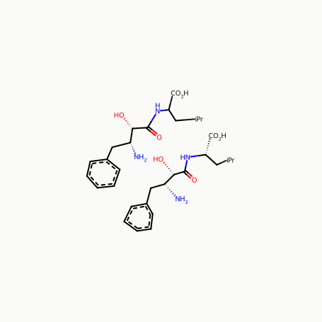 CC(C)CC(NC(=O)[C@@H](O)[C@H](N)Cc1ccccc1)C(=O)O.CC(C)C[C@H](NC(=O)[C@@H](O)[C@H](N)Cc1ccccc1)C(=O)O